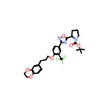 CC(C)(C)OC(=O)N1CCCC1c1nc(-c2ccc(OCCCc3ccc4c(c3)OCCO4)c(C(F)(F)F)c2)no1